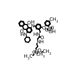 CCO[Si](C)(CCCNCC(=O)NCc1cc(Nc2ccc(NC3CCCCC3)c3c2C(=O)c2ccccc2C3=O)ccc1Oc1ccc(C)cc1S(=O)(=O)O)OCC